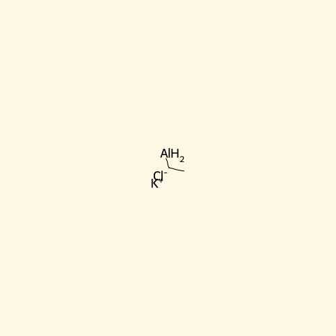 C[CH2][AlH2].[Cl-].[K+]